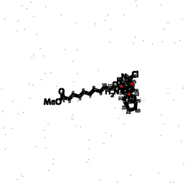 COC(=O)CCCCCCCCCOc1cccc(N2C3CCC2CN(c2cc(Cl)nnc2N)C3)c1